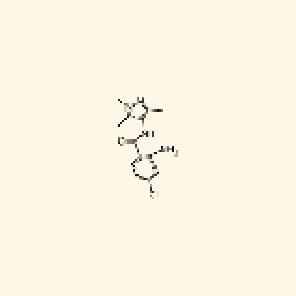 Cc1nn(C)c(C)c1NC(=O)c1ccc(Cl)cc1N